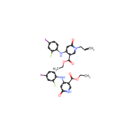 C=CCn1cc(C(=O)OCC)c(Nc2ccc(I)cc2F)cc1=O.CCOC(=O)c1c[nH]c(=O)cc1Nc1ccc(I)cc1F